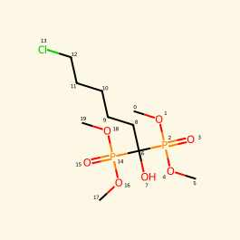 COP(=O)(OC)C(O)(CCCCCCl)P(=O)(OC)OC